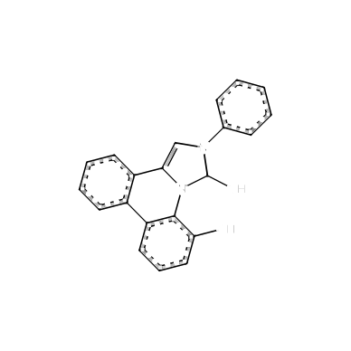 Cc1cccc2c1N1C(=CN(c3ccccc3)C1C)c1ccccc1-2